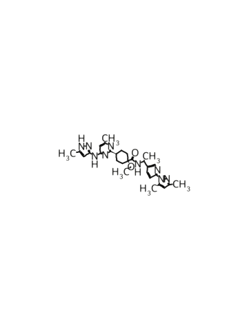 CO[C@]1(C(=O)N[C@@H](C)c2ccc(-n3nc(C)cc3C)nc2)CC[C@H](c2nc(C)cc(Nc3cc(C)[nH]n3)n2)CC1